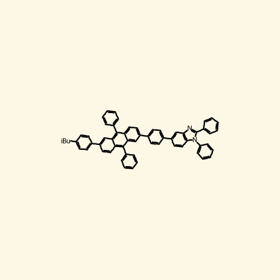 CCC(C)c1ccc(-c2ccc3c(-c4ccccc4)c4cc(-c5ccc(-c6ccc7c(c6)nc(-c6ccccc6)n7-c6ccccc6)cc5)ccc4c(-c4ccccc4)c3c2)cc1